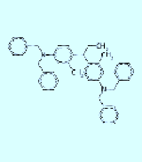 CCC(c1ccc(N(Cc2ccccc2)Cc2ccccc2)cc1C)c1ccc(N(Cc2ccccc2)Cc2ccccc2)cc1C